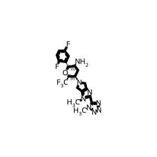 Cn1nnnc1-c1nc2c(n1C)CN([C@@H]1C[C@H](N)[C@@H](c3cc(F)ccc3F)O[C@@H]1C(F)(F)F)C2